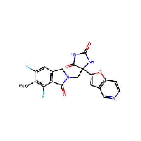 COc1c(F)cc2c(c1F)C(=O)N(CC1(c3cc4cnccc4o3)NC(=O)NC1=O)C2